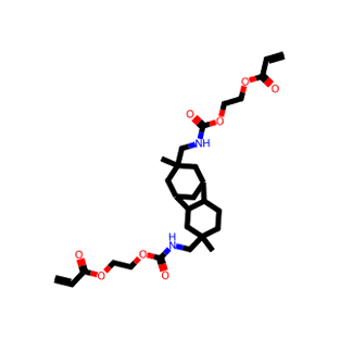 C=CC(=O)OCCOC(=O)NCC1(C)CC2CC(C1)C1CC(C)(CNC(=O)OCCOC(=O)C=C)CCC21